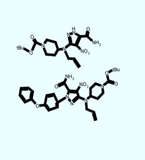 C=CCN(c1n[nH]c(C(N)=O)c1[N+](=O)[O-])C1CCN(C(=O)OC(C)(C)C)CC1.C=CCN(c1nn(-c2ccc(Oc3ccccc3)cc2)c(C(N)=O)c1[N+](=O)[O-])C1CCN(C(=O)OC(C)(C)C)CC1